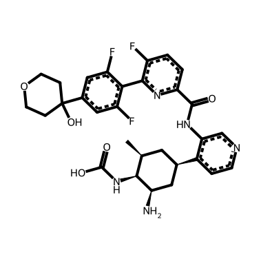 C[C@H]1C[C@@H](c2ccncc2NC(=O)c2ccc(F)c(-c3c(F)cc(C4(O)CCOCC4)cc3F)n2)C[C@@H](N)[C@H]1NC(=O)O